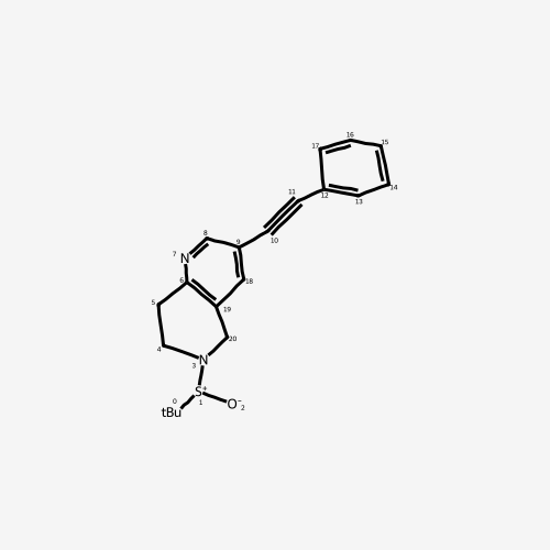 CC(C)(C)[S+]([O-])N1CCc2ncc(C#Cc3ccccc3)cc2C1